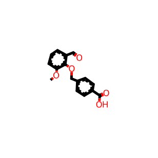 COc1cccc(C=O)c1OCc1ccc(C(=O)O)cc1